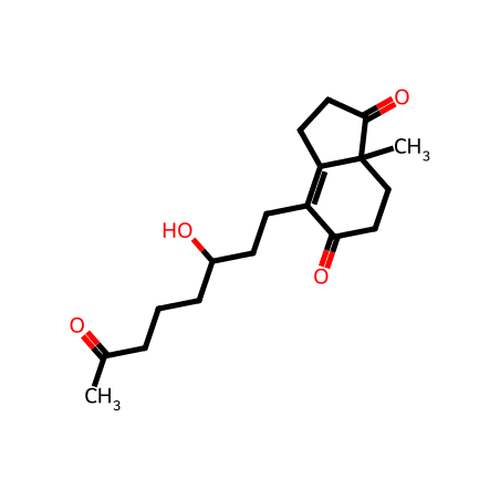 CC(=O)CCCC(O)CCC1=C2CCC(=O)C2(C)CCC1=O